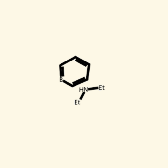 CCNCC.b1ccccc1